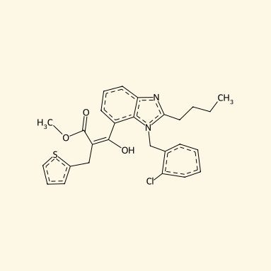 CCCCc1nc2cccc(C(O)=C(Cc3cccs3)C(=O)OC)c2n1Cc1ccccc1Cl